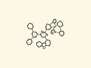 c1ccc(-c2cc(-c3ccccc3)cc(-c3cc(-c4cccc5oc6ccccc6c45)nc(-c4ccc5c(c4)C4(c6ccccc6-c6ccccc6-c6ccccc64)c4ccccc4-5)n3)c2)cc1